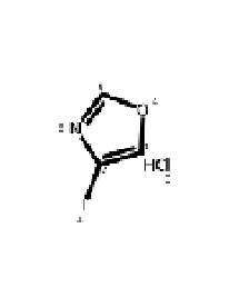 Cl.Ic1cocn1